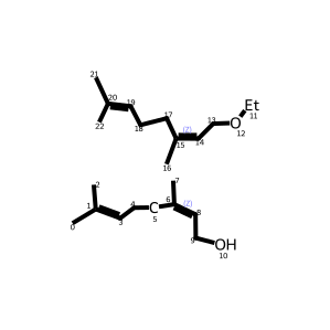 CC(C)=CCC/C(C)=C\CO.CCOC/C=C(/C)CCC=C(C)C